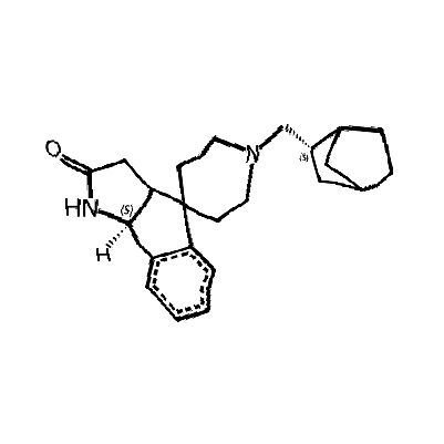 O=C1CC2[C@H](N1)c1ccccc1C21CCN(C[C@H]2CC3CCC2C3)CC1